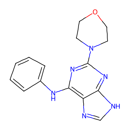 c1ccc(Nc2nc(N3CCOCC3)nc3[nH]cnc23)cc1